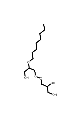 CCCCCCCCOC(CO)COOCC(O)CO